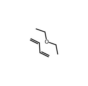 C=CC=C.CCOCC